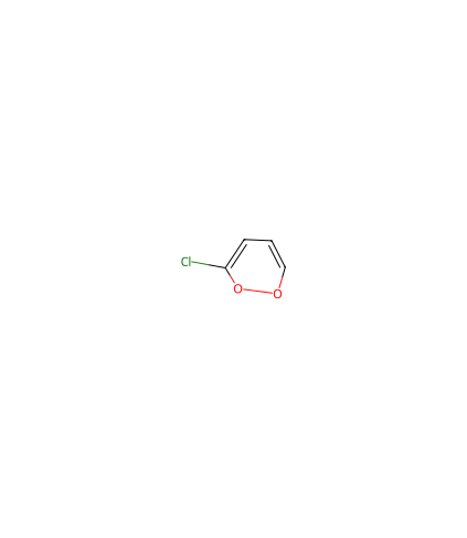 ClC1=CC=COO1